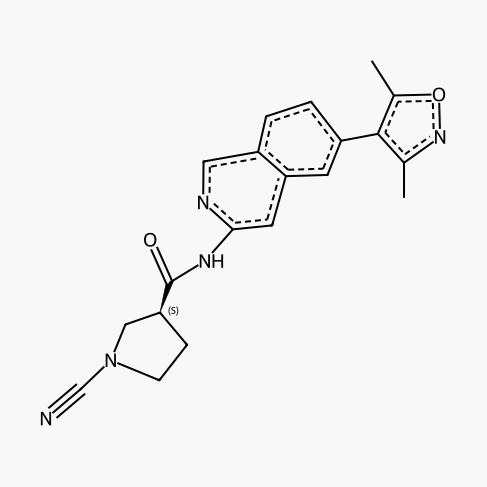 Cc1noc(C)c1-c1ccc2cnc(NC(=O)[C@H]3CCN(C#N)C3)cc2c1